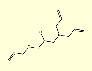 C=CCOCC(O)CN(CC=C)CC=C